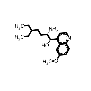 CCC(CC)CC[C@H](N)[C@H](O)c1ccnc2ccc(OC)cc12